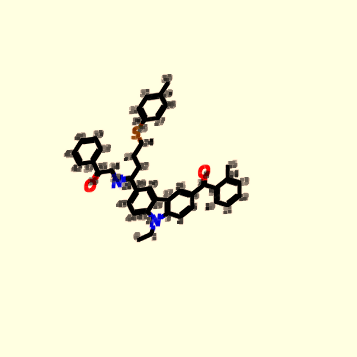 CCn1c2ccc(C(=O)c3ccccc3C)cc2c2cc(/C(CCCSc3ccc(C)cc3)=N/CC(=O)c3ccccc3)ccc21